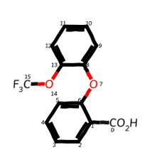 O=C(O)c1ccccc1Oc1ccccc1OC(F)(F)F